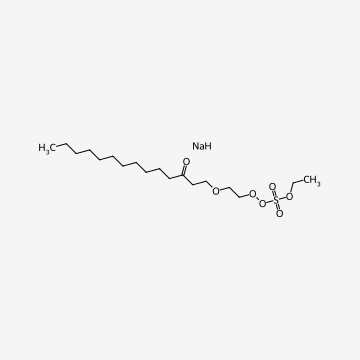 CCCCCCCCCCCC(=O)CCOCCOOS(=O)(=O)OCC.[NaH]